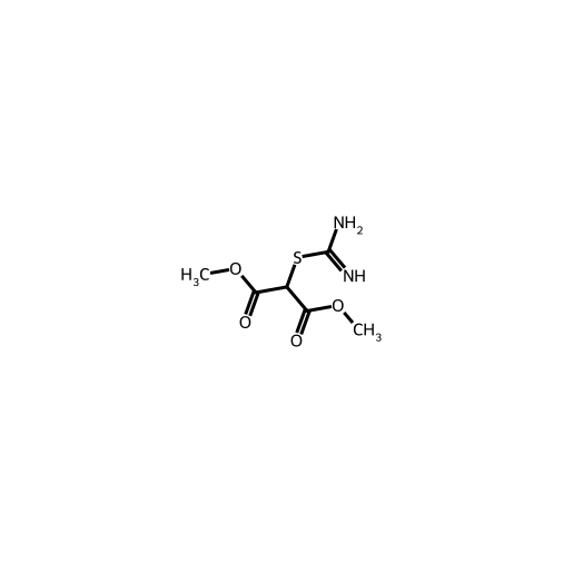 COC(=O)C(SC(=N)N)C(=O)OC